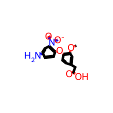 COc1cc(CC(=O)O)ccc1Oc1ccc(N)cc1[N+](=O)[O-]